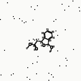 COC(=O)CC1OC(OC)c2ccccc21